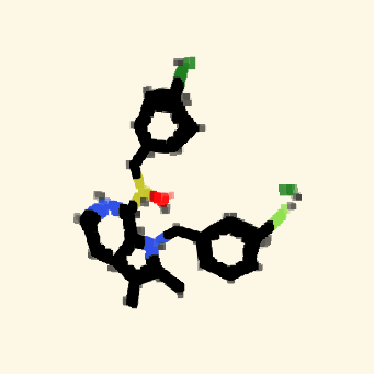 Cc1c(C)n(Cc2cccc(F)c2)c2c([S+]([O-])Cc3ccc(Cl)cc3)nccc12.Cl